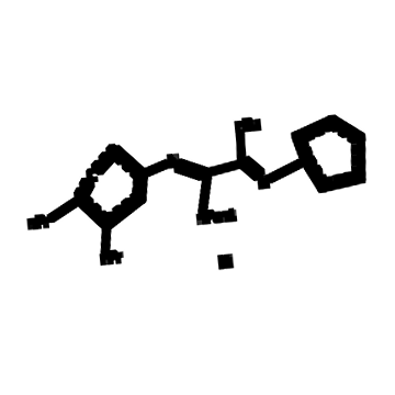 CCCCCC(=N\c1ccc(CCC)c(CCC)c1)/C(CCCC)=N/c1ccccc1.[Ni]